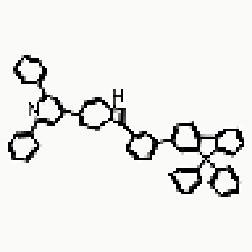 C1=C[C@@H]2C=C(c3cccc(-c4ccc5c(c4)C(c4ccccc4)(c4ccccc4)c4ccccc4-5)c3)C2CC=C1c1cc(-c2ccccc2)nc(-c2ccccc2)c1